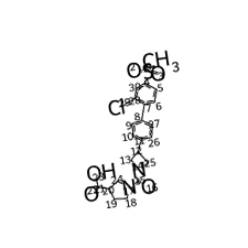 CS(=O)(=O)c1ccc(-c2ccc(C3CN(C(=O)N4CCC(C(=O)O)C4)C3)cc2)c(Cl)c1